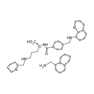 NCc1cccc2ccccc12.O=C(N[C@@H](CCCNCc1ccccn1)C(=O)O)c1ccc(CNc2cccc3cccnc23)cc1